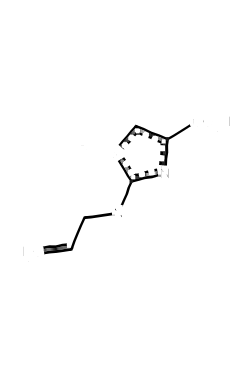 C=CCNc1nc(C(=O)O)cs1.[K]